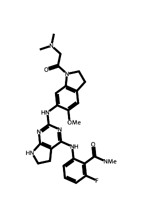 CNC(=O)c1c(F)cccc1Nc1nc(Nc2cc3c(cc2OC)CCN3C(=O)CN(C)C)nc2c1CCN2